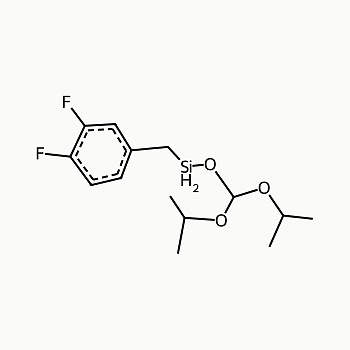 CC(C)OC(O[SiH2]Cc1ccc(F)c(F)c1)OC(C)C